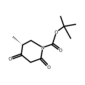 C[C@@H]1CN(C(=O)OC(C)(C)C)C(=O)CC1=O